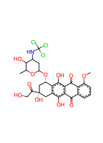 COc1cccc2c1C(=O)c1c(O)c3c(c(O)c1C2=O)C[C@@](O)(C(=O)CO)C[C@@H]3OC1CC(NC(Cl)(Cl)Cl)C(O)C(C)O1